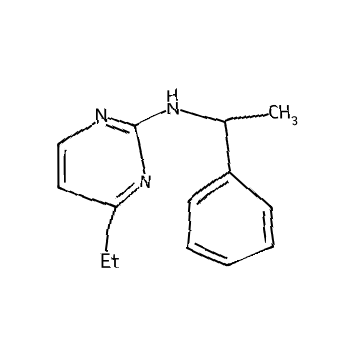 CCc1ccnc(NC(C)c2ccccc2)n1